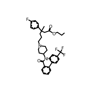 CCCOC(=O)CC(C)(CCCN1CCC(NC(=O)c2ccccc2-c2ccc(C(F)(F)F)cc2)CC1)c1ccc(F)cc1